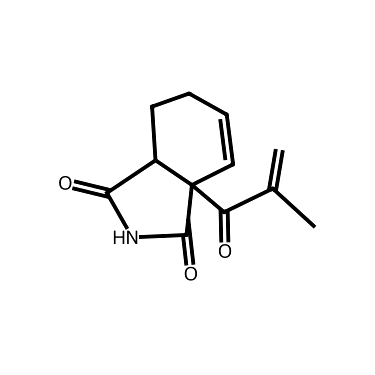 C=C(C)C(=O)C12C=CCCC1C(=O)NC2=O